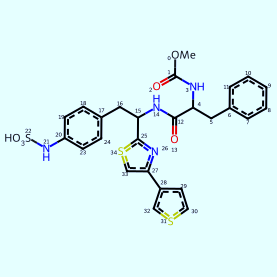 COC(=O)NC(Cc1ccccc1)C(=O)NC(Cc1ccc(NS(=O)(=O)O)cc1)c1nc(-c2ccsc2)cs1